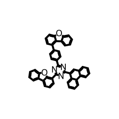 c1ccc2c(c1)cc(-c1nc(-c3ccc(-c4cccc5oc6ccccc6c45)cc3)nc(-c3cccc4c3oc3ccccc34)n1)c1ccccc12